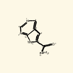 NC(=O)c1cc2cncnc2[nH]1